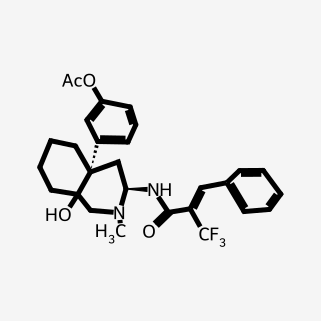 CC(=O)Oc1cccc([C@@]23CCCCC2(O)CN(C)[C@H](NC(=O)C(=Cc2ccccc2)C(F)(F)F)C3)c1